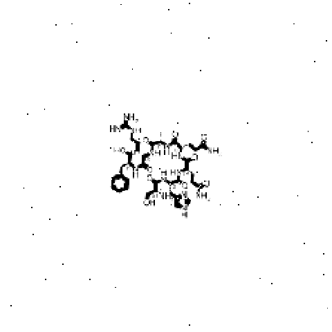 C[C@H](NC(=O)[C@H](CCC(N)=O)NC(=O)[C@H](CCC(N)=O)NC(=O)[C@H](Cc1c[nH]cn1)NC(=O)[C@@H](N)CO)C(=O)N[C@@H](CCCNC(=N)N)C(=O)N[C@@H](Cc1ccccc1)C(=O)O